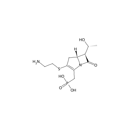 C[C@@H](O)[C@H]1C(=O)N2C(CP(=O)(O)O)=C(SCCN)C[C@H]12